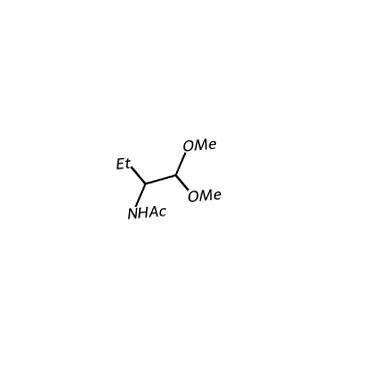 CCC(NC(C)=O)C(OC)OC